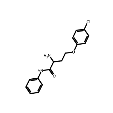 NC(CCOc1ccc(Cl)cc1)C(=O)Nc1ccccc1